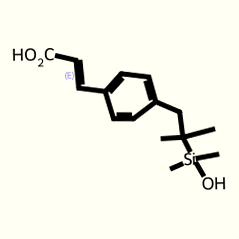 CC(C)(Cc1ccc(/C=C/C(=O)O)cc1)[Si](C)(C)O